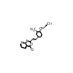 C#CCOc1ccc(/C=C/c2nc3ncccc3c(=O)o2)cc1C